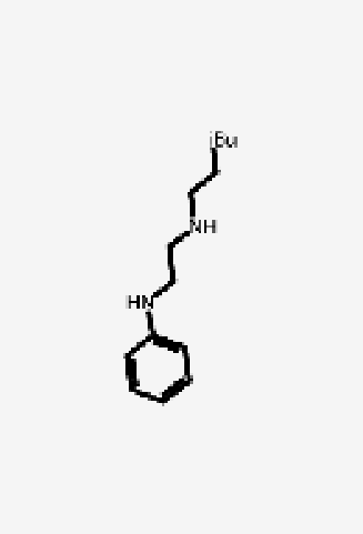 CCC(C)CCNCCNc1ccccc1